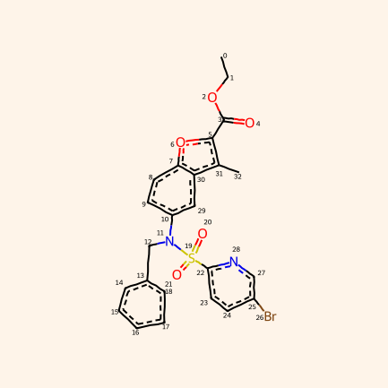 CCOC(=O)c1oc2ccc(N(Cc3ccccc3)S(=O)(=O)c3ccc(Br)cn3)cc2c1C